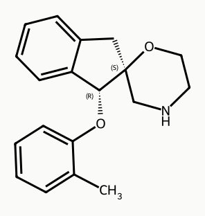 Cc1ccccc1O[C@@H]1c2ccccc2C[C@]12CNCCO2